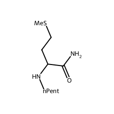 CCCCCNC(CCSC)C(N)=O